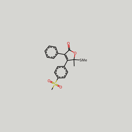 CSC1(C)OC(=O)C(c2ccccc2)=C1c1ccc(S(C)(=O)=O)cc1